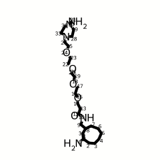 NC1CCCCCCC(CNC(=O)CCOCCOCCOCCOCCN2CCN(N)CC2)C1